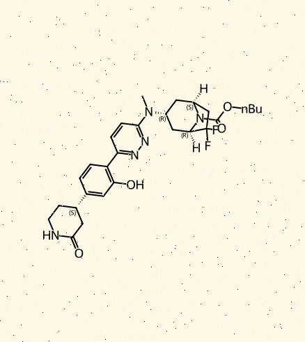 CCCCOC(=O)N1[C@H]2C[C@@H](N(C)c3ccc(-c4ccc([C@H]5CCNC(=O)C5)cc4O)nn3)C[C@@H]1C(F)(F)C2